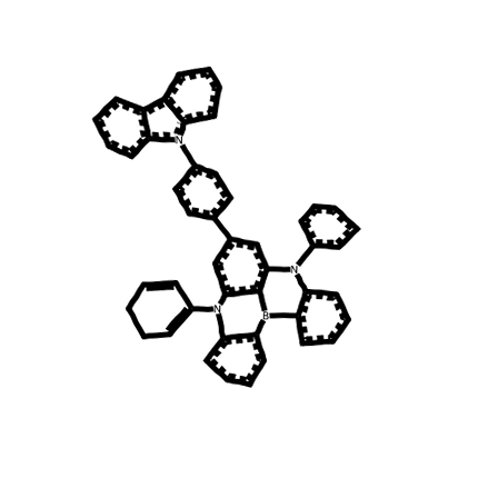 C1=CC(N2c3ccccc3B3c4ccccc4N(c4ccccc4)c4cc(-c5ccc(-n6c7ccccc7c7ccccc76)cc5)cc2c43)=CCC1